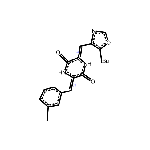 Cc1cccc(/C=c2\[nH]c(=O)/c(=C/c3ncoc3C(C)(C)C)[nH]c2=O)c1